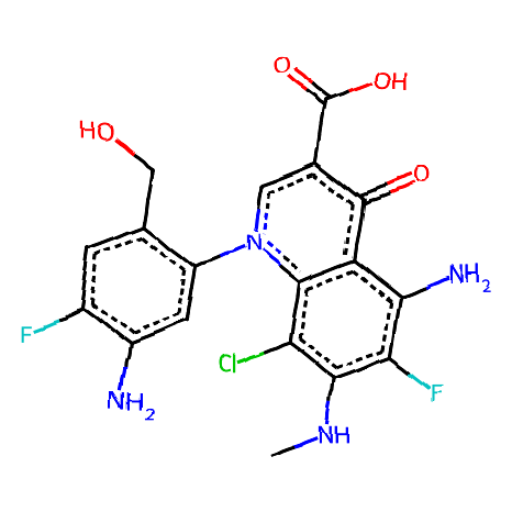 CNc1c(F)c(N)c2c(=O)c(C(=O)O)cn(-c3cc(N)c(F)cc3CO)c2c1Cl